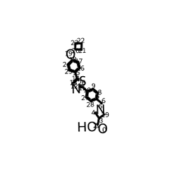 O=C(O)C1CN(Cc2ccc(-c3ncc(-c4ccc(OC5CCC5)cc4)s3)cc2)C1